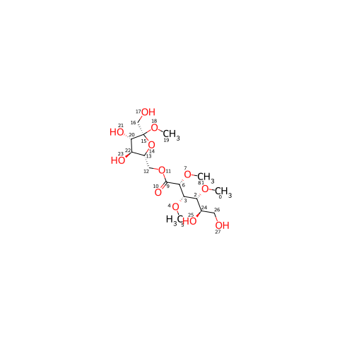 CO[C@@H]([C@H](OC)[C@@H](OC)C(=O)OC[C@H]1O[C@](CO)(OC)[C@@H](O)[C@@H]1O)[C@H](O)CO